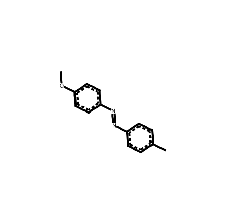 COc1ccc(/N=N/c2ccc(C)cc2)cc1